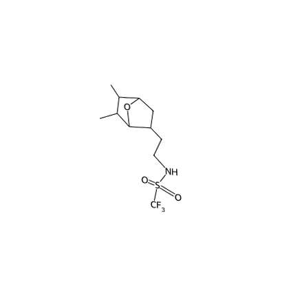 CC1C2CC(CCNS(=O)(=O)C(F)(F)F)C(O2)C1C